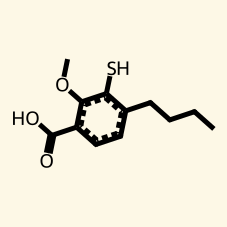 CCCCc1ccc(C(=O)O)c(OC)c1S